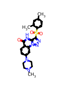 Cc1ccc(S(=O)(=O)c2nnn3c2[nH]c(=O)c2ccc(N4CCN(C)CC4)cc23)c(C)c1